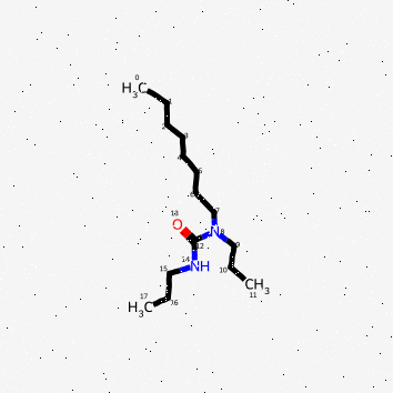 CCCCCCCCN(CCC)C(=O)NCCC